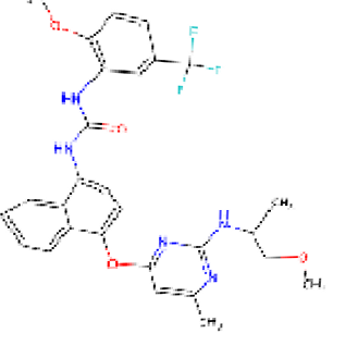 COCC(C)Nc1nc(C)cc(Oc2ccc(NC(=O)Nc3cc(C(F)(F)F)ccc3OC)c3ccccc23)n1